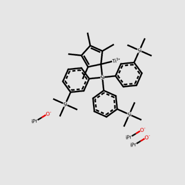 CC(C)[O-].CC(C)[O-].CC(C)[O-].CC1=C(C)[C]([Ti+3])([Si](c2cccc([Si](C)(C)C)c2)(c2cccc([Si](C)(C)C)c2)c2cccc([Si](C)(C)C)c2)C(C)=C1C